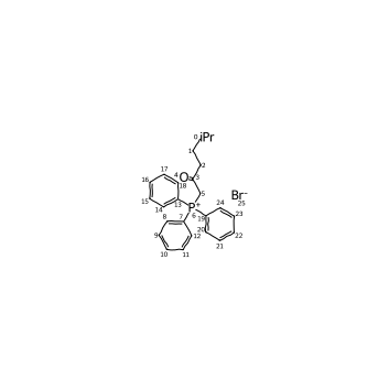 CC(C)CCC(=O)C[P+](c1ccccc1)(c1ccccc1)c1ccccc1.[Br-]